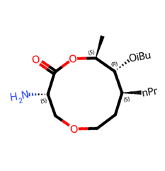 CCC[C@H]1CCOC[C@H](N)C(=O)O[C@@H](C)[C@@H]1OCC(C)C